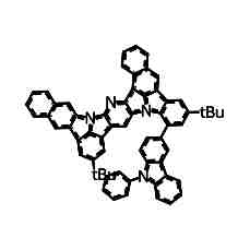 CC(C)(C)c1cc(-c2ccc3c(c2)c2ccccc2n3-c2ccccc2)c2c(c1)c1cc3ccccc3c3c4nc5c(cc4n2c13)c1cc(C(C)(C)C)cc2c3cc4ccccc4cc3n5c21